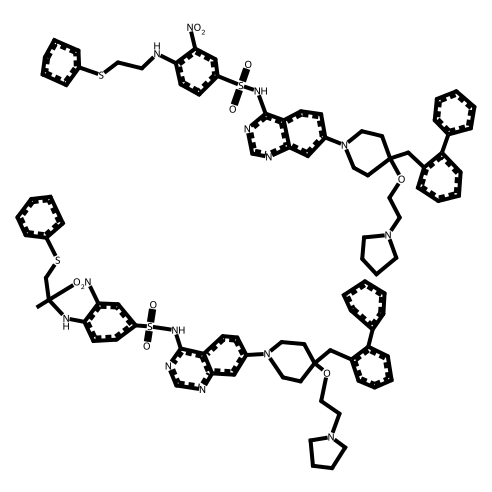 CC(C)(CSc1ccccc1)Nc1ccc(S(=O)(=O)Nc2ncnc3cc(N4CCC(Cc5ccccc5-c5ccccc5)(OCCN5CCCC5)CC4)ccc23)cc1[N+](=O)[O-].O=[N+]([O-])c1cc(S(=O)(=O)Nc2ncnc3cc(N4CCC(Cc5ccccc5-c5ccccc5)(OCCN5CCCC5)CC4)ccc23)ccc1NCCSc1ccccc1